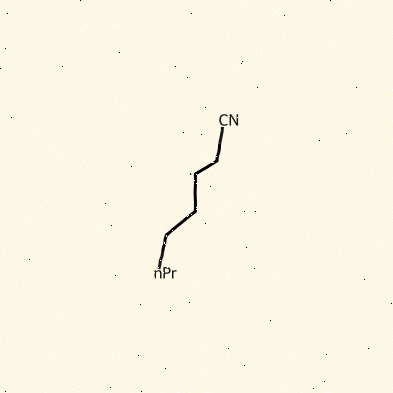 CCCCC[CH]CC#N